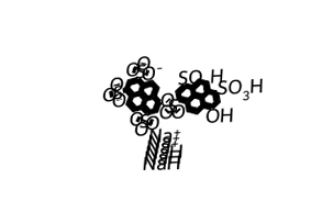 O=S(=O)([O-])c1cc(OS(=O)(=O)c2cc(S(=O)(=O)O)c3ccc4c(S(=O)(=O)O)cc(O)c5ccc2c3c54)c2ccc3c(S(=O)(=O)[O-])cc(S(=O)(=O)[O-])c4ccc1c2c34.[Na+].[Na+].[Na+].[NaH].[NaH].[NaH]